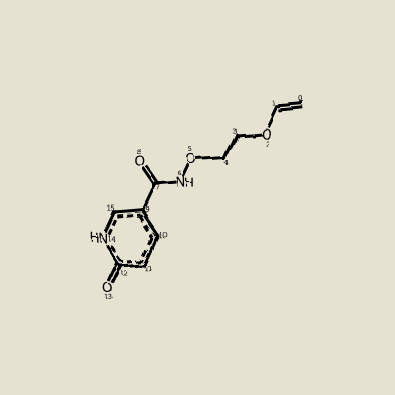 C=COCCONC(=O)c1ccc(=O)[nH]c1